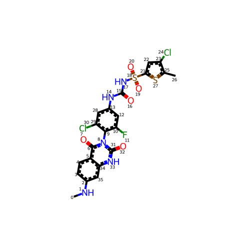 CNc1ccc2c(=O)n(-c3c(F)cc(NC(=O)NS(=O)(=O)c4cc(Cl)c(C)s4)cc3Cl)c(=O)[nH]c2c1